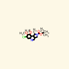 COc1c(Cl)cc2ncc3c(c2c1OC)[C@H](C)N(C(=O)OC(C)(C)C)C3